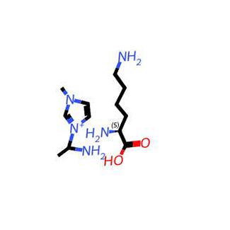 CC(N)[n+]1ccn(C)c1.NCCCC[C@H](N)C(=O)O